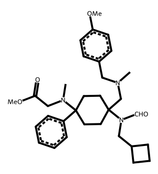 COC(=O)CN(C)C1(c2ccccc2)CCC(CN(C)Cc2ccc(OC)cc2)(N(C=O)CC2CCC2)CC1